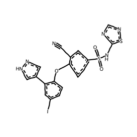 N#Cc1cc(S(=O)(=O)Nc2ncns2)ccc1Oc1ccc(I)cc1-c1cn[nH]c1